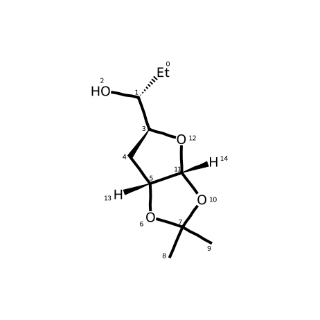 CC[C@@H](O)[C@@H]1C[C@H]2OC(C)(C)O[C@H]2O1